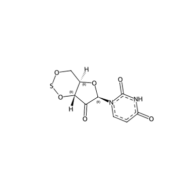 O=C1[C@H](n2ccc(=O)[nH]c2=O)O[C@@H]2COSO[C@@H]12